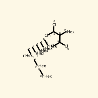 CCCCCCC.CCCCCCC.CCCCCCC.CCCCCCC.CCCCCCC.CCCCCCC.CCCCCCC.CCCCCCC(C(Cl)Cl)C(Cl)Cl